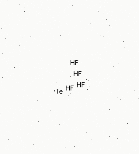 F.F.F.F.[Te]